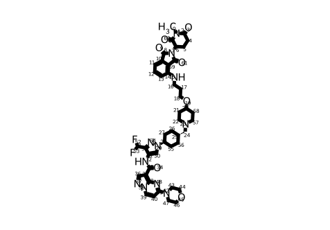 CN1C(=O)CCC(N2C(=O)c3cccc(NCCCOC4CCN(C[C@H]5CC[C@H](n6cc(NC(=O)c7cnn8ccc(N9CCOCC9)nc78)c(C(F)F)n6)CC5)CC4)c3C2=O)C1=O